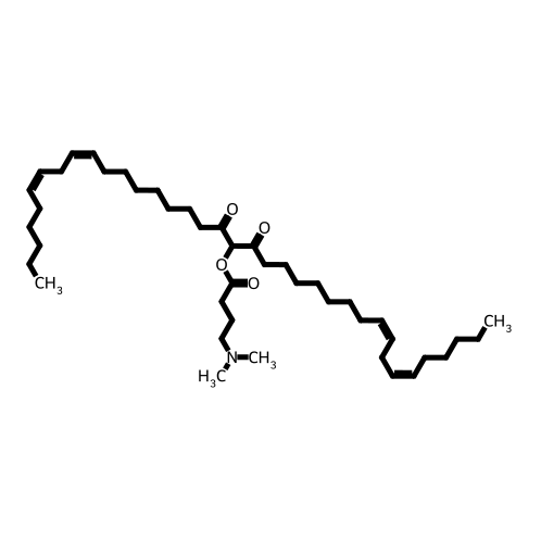 CCCCC/C=C\C/C=C\CCCCCCCC(=O)C(OC(=O)CCCN(C)C)C(=O)CCCCCCC/C=C\C/C=C\CCCCC